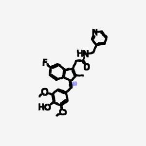 COc1cc(/C=C2/C(C)=C(CC(=O)NCc3cccnc3)c3cc(F)ccc32)cc(OC)c1O